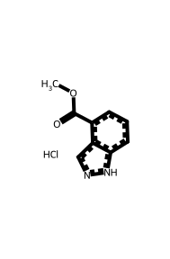 COC(=O)c1cccc2[nH]ncc12.Cl